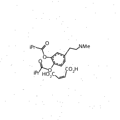 CNCCc1ccc(OC(=O)C(C)C)c(OC(=O)C(C)C)c1.O=C(O)/C=C\C(=O)O